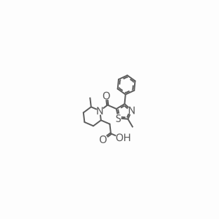 Cc1nc(-c2ccccc2)c(C(=O)N2C(C)CCCC2CC(=O)O)s1